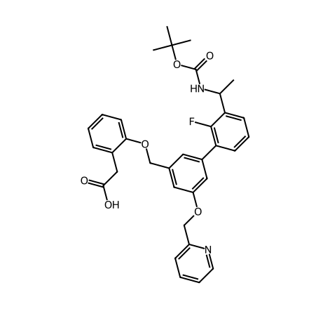 CC(NC(=O)OC(C)(C)C)c1cccc(-c2cc(COc3ccccc3CC(=O)O)cc(OCc3ccccn3)c2)c1F